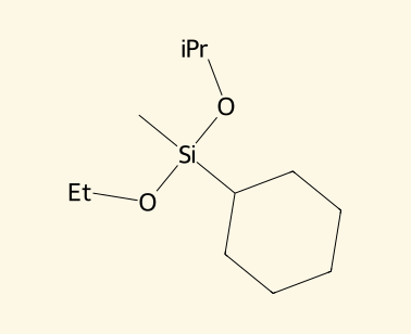 CCO[Si](C)(OC(C)C)C1CCCCC1